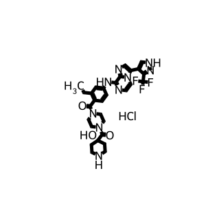 CCc1cc(Nc2nccn3c(-c4c[nH]nc4C(F)(F)F)cnc23)ccc1C(=O)N1CCN(C(=O)C2(O)CCNCC2)CC1.Cl